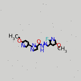 CCOc1ccc(-c2nccc(C(=O)N/N=C/c3cc(OC)cnc3F)n2)cn1